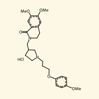 COc1ccc(OCCCN2CCC(CN3CCc4cc(OC)c(OC)cc4C3=O)C2)cc1.Cl